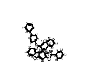 c1ccc(-c2ccc(N(c3ccc4ccccc4c3)c3cccc4oc5cc6oc(-c7ccccc7)nc6cc5c34)cc2)cc1